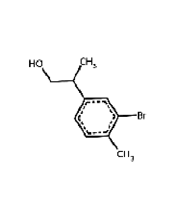 Cc1ccc(C(C)CO)cc1Br